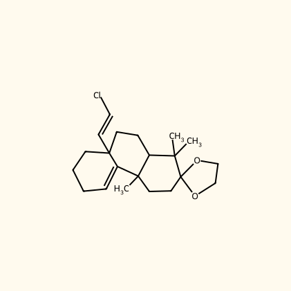 CC12CCC3(OCCO3)C(C)(C)C1CCC1(C=CCl)CCCC=C12